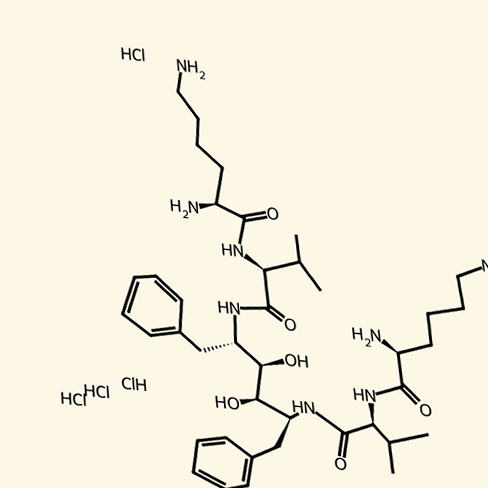 CC(C)[C@H](NC(=O)[C@@H](N)CCCCN)C(=O)N[C@@H](Cc1ccccc1)[C@@H](O)[C@H](O)[C@H](Cc1ccccc1)NC(=O)[C@@H](NC(=O)[C@@H](N)CCCCN)C(C)C.Cl.Cl.Cl.Cl